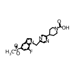 CS(=O)(=O)c1cc(F)c2c(ccn2Cc2cnc(C3CCN(C(=O)O)CC3)cn2)c1